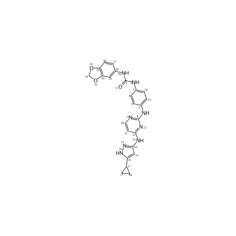 O=C(Nc1ccc(Nc2nccc(Nc3cc(C4CC4)[nH]n3)n2)cc1)Nc1ccc2c(c1)OCO2